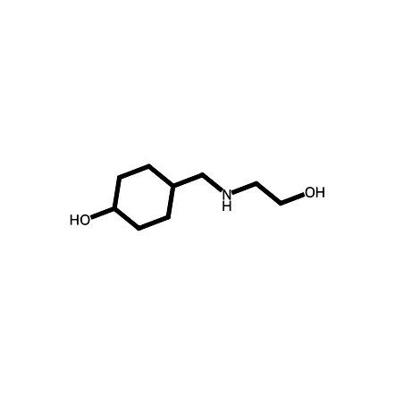 OCCNCC1CCC(O)CC1